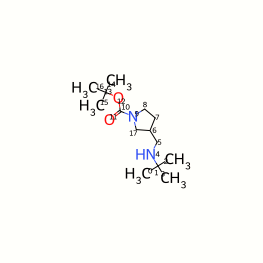 CC(C)(C)NCC1CCN(C(=O)OC(C)(C)C)C1